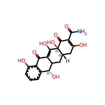 NC(=O)C1=C(O)C[C@@H]2CC3C(=C(O)[C@]2(O)C1=O)C(=O)c1c(O)cccc1[C@H]3O